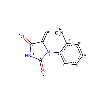 C=C1C(=O)NC(=O)N1c1ccccc1[N+](=O)[O-]